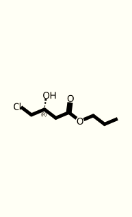 CCCOC(=O)C[C@@H](O)CCl